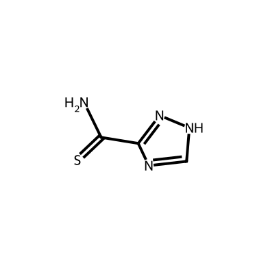 NC(=S)c1nc[nH]n1